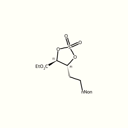 CCCCCCCCCCC[C@H]1OS(=O)(=O)O[C@@H]1C(=O)OCC